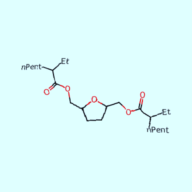 CCCCCC(CC)C(=O)OCC1CCC(COC(=O)C(CC)CCCCC)O1